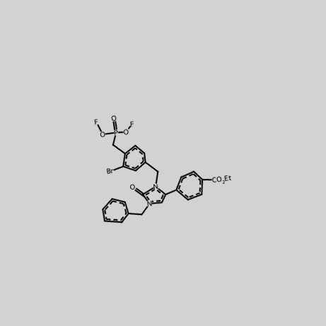 CCOC(=O)c1ccc(-c2cn(Cc3ccccc3)c(=O)n2Cc2ccc(CP(=O)(OF)OF)c(Br)c2)cc1